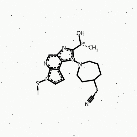 C[C@@H](O)c1nc2cnc3c(ccn3SI)c2n1N1CCCC(CC#N)CC1